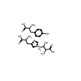 CC(O)C(N)C(=O)O.NC(Cc1c[nH]cn1)C(=O)O.NC(Cc1ccc(O)cc1)C(=O)O